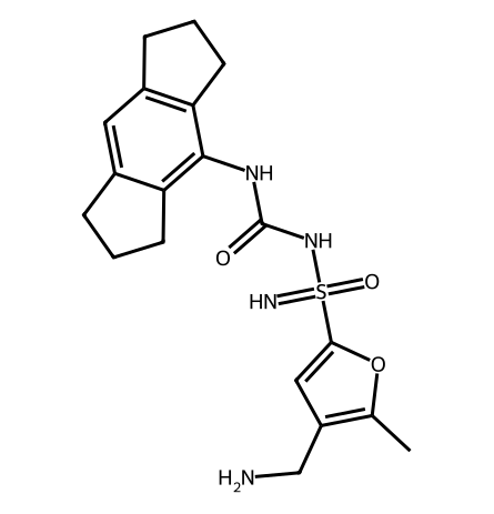 Cc1oc(S(=N)(=O)NC(=O)Nc2c3c(cc4c2CCC4)CCC3)cc1CN